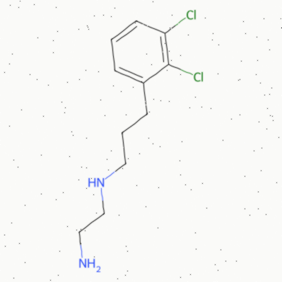 NCCNCCCc1cccc(Cl)c1Cl